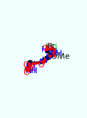 COc1cc(N2CCC(N3CCN(C(=O)CCCCCNc4cccc5c4C(=O)N(C4CCC(=O)NC4=O)C5=O)CC3)CC2)ccc1Nc1ncc(Cl)c(Nc2ccccc2S(=O)(=O)C(C)C)n1